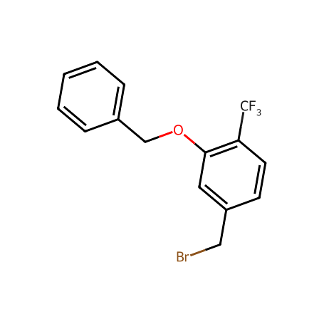 FC(F)(F)c1ccc(CBr)cc1OCc1ccccc1